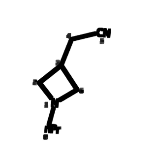 CCCN1CC(CC#N)C1